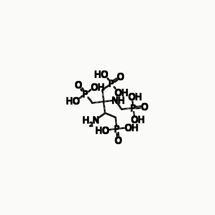 NC(CP(=O)(O)O)C(CP(=O)(O)O)(CP(=O)(O)O)NCP(=O)(O)O